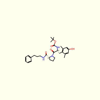 Cc1cc(O)cc(C)c1C[C@@H](NC(=O)OC(C)(C)C)C(=O)N1CCC[C@@H]1C(=O)NCCCc1ccccc1